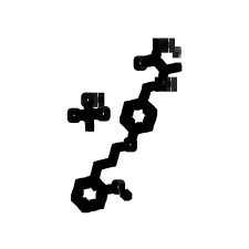 COc1ccccc1CCCOc1ccc(CNC(C)C(N)=O)cc1.CS(=O)(=O)O